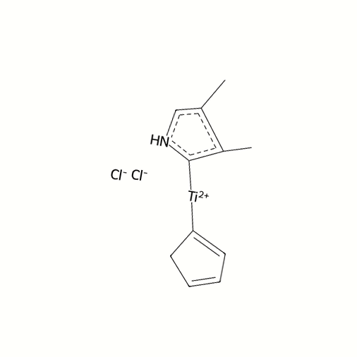 Cc1c[nH][c]([Ti+2][C]2=CC=CC2)c1C.[Cl-].[Cl-]